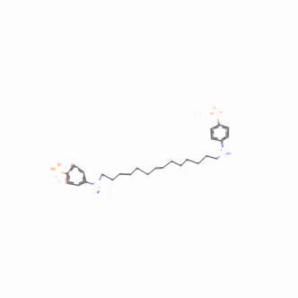 O=CN(CCCCCCCCCCCCCCN(C=O)c1ccc(P(=O)(O)O)cc1)c1ccc(P(=O)(O)O)cc1